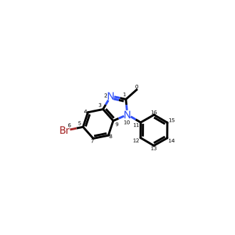 Cc1nc2cc(Br)ccc2n1-c1ccccc1